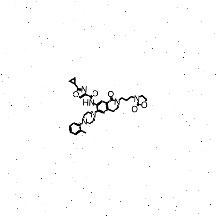 Cc1ccccc1N1CCN(c2cc3c(cc2NC(=O)c2coc(C4CC4)n2)C(=O)N(CCCN2CCOC2=O)CC3)CC1